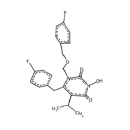 CC(C)c1c(Cc2ccc(F)cc2)n(COCc2ccc(F)cc2)c(=O)n(O)c1=O